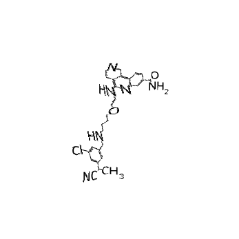 CC(C#N)c1cc(Cl)cc(CNCCCCOCCNc2nc3cc(C(N)=O)ccc3c3cnccc23)c1